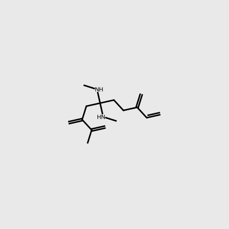 C=CC(=C)CCC(CC(=C)C(=C)C)(NC)NC